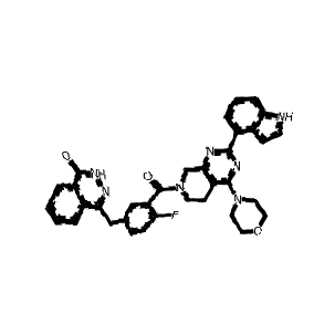 O=C(c1cc(Cc2n[nH]c(=O)c3ccccc23)ccc1F)N1CCc2c(nc(-c3cccc4[nH]ccc34)nc2N2CCOCC2)C1